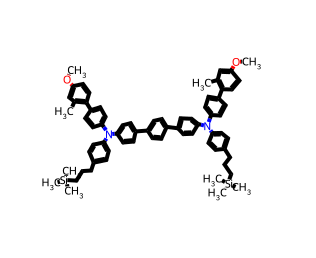 COc1ccc(-c2ccc(N(c3ccc(CCC[Si](C)(C)C)cc3)c3ccc(-c4ccc(-c5ccc(N(c6ccc(CCC[Si](C)(C)C)cc6)c6ccc(-c7ccc(OC)cc7C)cc6)cc5)cc4)cc3)cc2)c(C)c1